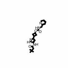 CC(C)(C)CC(=O)Nc1cc(C2CC(OC(=O)NCc3ccccn3)C2)n[nH]1